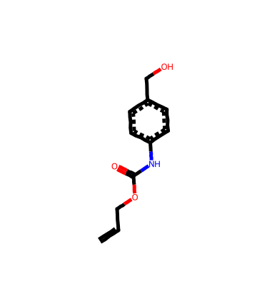 C=CCOC(=O)Nc1ccc(CO)cc1